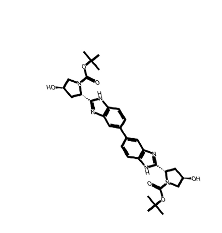 CC(C)(C)OC(=O)N1C[C@H](O)C[C@H]1c1nc2cc(-c3ccc4[nH]c([C@@H]5C[C@@H](O)CN5C(=O)OC(C)(C)C)nc4c3)ccc2[nH]1